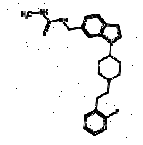 CNC(=S)NCc1ccc2ccn(C3CCN(CCc4ccccc4F)CC3)c2c1